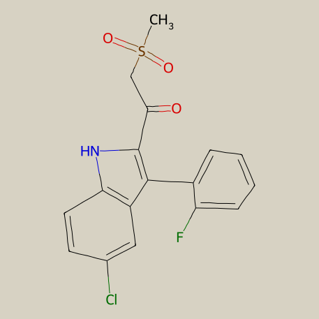 CS(=O)(=O)CC(=O)c1[nH]c2ccc(Cl)cc2c1-c1ccccc1F